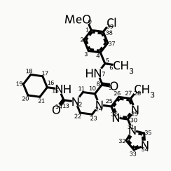 COc1ccc(C(C)NC(=O)C2CN(C(=O)NC3CCCCC3)CCN2c2cc(C)nc(-n3ccnc3)n2)cc1Cl